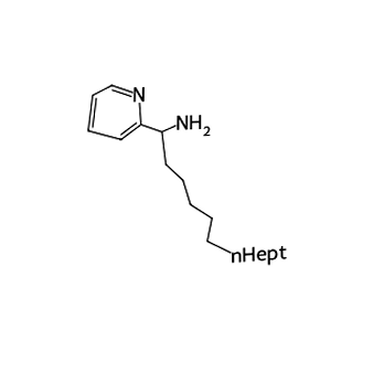 CCCCCCCCCCCCC(N)c1ccccn1